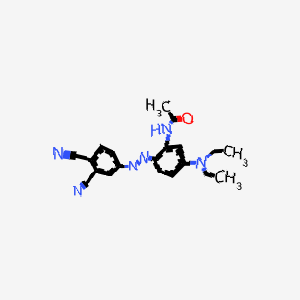 CCN(CC)c1ccc(N=Nc2ccc(C#N)c(C#N)c2)c(NC(C)=O)c1